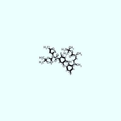 Cc1cc(N(C(=O)OC(C)(C)C)S(=O)(=O)c2cc(Cl)c(Nc3ccc(F)cc3N(C)CCN(C)C(=O)OC(C)(C)C)cc2F)no1